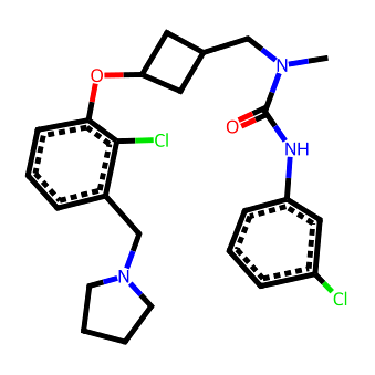 CN(CC1CC(Oc2cccc(CN3CCCC3)c2Cl)C1)C(=O)Nc1cccc(Cl)c1